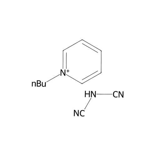 CCCC[n+]1ccccc1.N#CNC#N